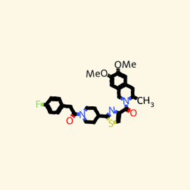 COc1cc2c(cc1OC)CN(C(=O)c1csc(C3CCN(C(=O)Cc4ccc(F)cc4)CC3)n1)C(C)C2